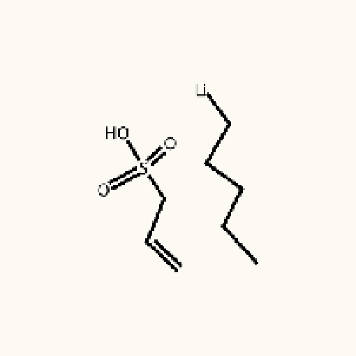 C=CCS(=O)(=O)O.[Li][CH2]CCCC